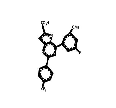 COc1cc(F)cc(-c2cc(-c3ccc(C(F)(F)F)cc3)nc3cc(C(=O)O)nn23)c1